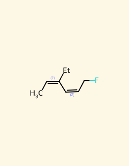 C/C=C(\C=C/CF)CC